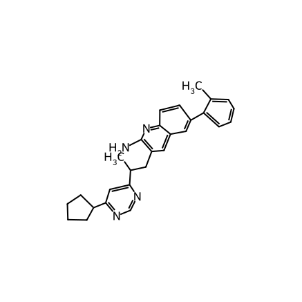 Cc1ccccc1-c1ccc2nc(N)c(CC(C)c3cc(C4CCCC4)ncn3)cc2c1